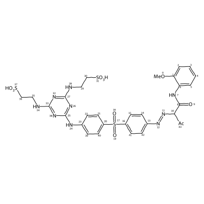 COc1ccccc1NC(=O)C(N=Nc1ccc(S(=O)(=O)c2ccc(Nc3nc(NCCS(=O)(=O)O)nc(NCCS(=O)(=O)O)n3)cc2)cc1)C(C)=O